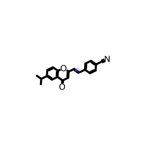 CC(C)c1ccc2oc(/C=C/c3ccc(C#N)cc3)cc(=O)c2c1